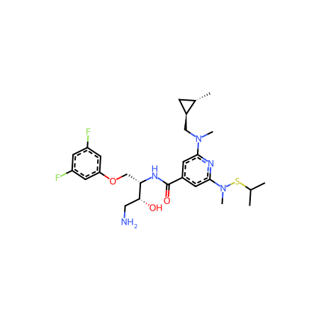 CC(C)SN(C)c1cc(C(=O)N[C@@H](COc2cc(F)cc(F)c2)[C@H](O)CN)cc(N(C)C[C@H]2C[C@@H]2C)n1